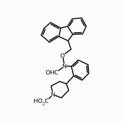 O=CN(OCC1c2ccccc2-c2ccccc21)c1ccccc1C1CCN(C(=O)O)CC1